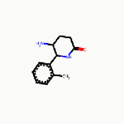 Cc1ccccc1C1NC(=O)CCC1N